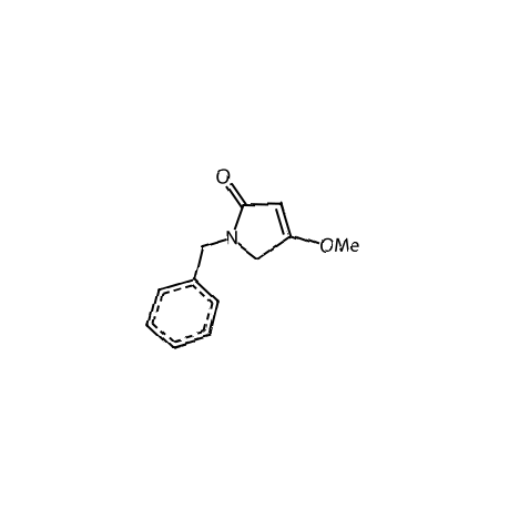 COC1=CC(=O)N(Cc2ccccc2)C1